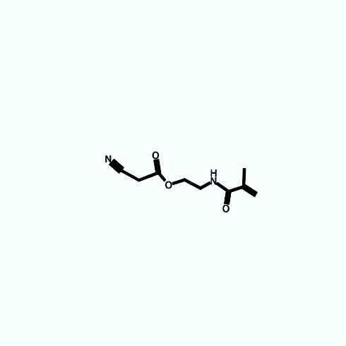 C=C(C)C(=O)NCCOC(=O)CC#N